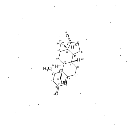 C[C@H]1CC(=O)C=C2CC[C@@H]3[C@H](CC[C@]4(C)C(=O)CC[C@@H]34)[C@]21CO